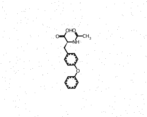 CC(=O)N[C@@H](Cc1ccc(Oc2ccccc2)cc1)C(=O)O